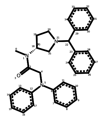 CN(C(=O)CN(c1ccccc1)c1ccccc1)[C@@H]1CCN(C(c2ccccc2)c2ccccc2)C1